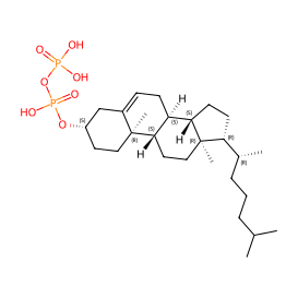 CC(C)CCC[C@@H](C)[C@H]1CC[C@H]2[C@@H]3CC=C4C[C@@H](OP(=O)(O)OP(=O)(O)O)CC[C@]4(C)[C@H]3CC[C@]12C